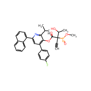 C#CC(C(=O)Oc1c(-c2ccc(F)cc2)cc(-c2cccc3ccccc23)nc1C(C)C)(C(C)O)[PH](=O)OC